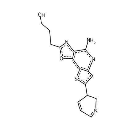 Nc1nc2cc(C3C=CC=NC3)sc2c2oc(CCCO)nc12